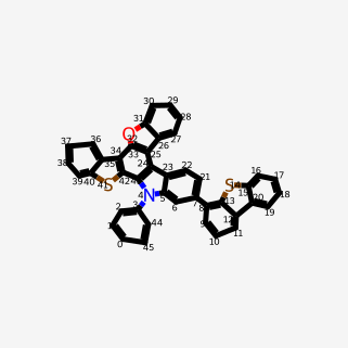 c1ccc(-n2c3cc(-c4cccc5c4sc4ccccc45)ccc3c3c4c5ccccc5oc4c4c5ccccc5sc4c32)cc1